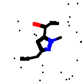 CNC(=O)c1cc(COC)nn1C